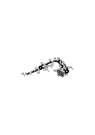 CSSC(C)c1cc(NC(=O)COCCOCCN)ccc1C(=O)OCCCCC(=O)NCC#Cc1cn([C@H]2CC(OC(=O)c3ccccc3C(C)SSC)[C@@H](COP(=O)(O)OP(=O)(O)OP(=O)(O)O)O2)c(=O)nc1N